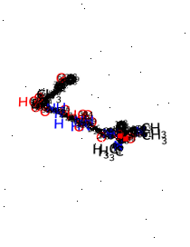 CCN(CC)c1ccc2c(-c3ccccc3C(=O)N3CCN(C(=O)CCCCC(=O)NC(CS(=O)(=O)O)C(=O)NCCCCCC(=O)NCCNC(=O)c4cc(CCCCc5ccc(C(=O)c6ccccc6)cc5)c(OC)c5c4COB5O)CC3)c3ccc(N(CC)CC)cc3[o+]c2c1